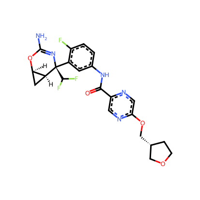 NC1=N[C@@](c2cc(NC(=O)c3cnc(OC[C@@H]4CCOC4)cn3)ccc2F)(C(F)F)[C@H]2C[C@H]2O1